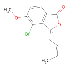 C/C=C\CC1OC(=O)c2ccc(OC)c(Br)c21